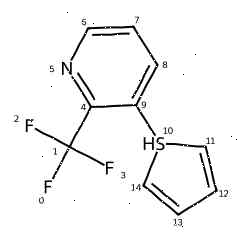 FC(F)(F)c1ncccc1[SH]1C=CC=C1